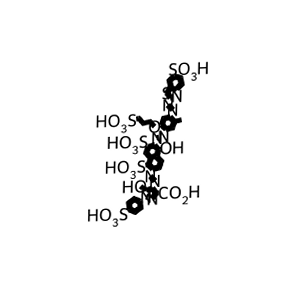 Cc1cc(N=Nc2c(S(=O)(=O)O)cc3c(S(=O)(=O)O)c(N=Nc4c(C(=O)O)nn(-c5ccc(S(=O)(=O)O)cc5)c4O)ccc3c2O)c(OCCCS(=O)(=O)O)cc1N=Nc1nc2ccc(S(=O)(=O)O)cc2s1